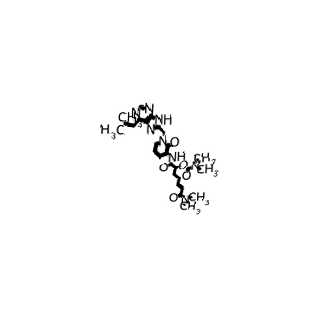 CC(C)=Cc1ncnc2[nH]c(Cn3cccc(NC(=O)C(CC/C=C/C(=O)N(C)C)OC(=O)N(C)C)c3=O)nc12